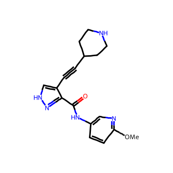 COc1ccc(NC(=O)c2n[nH]cc2C#CC2CCNCC2)cn1